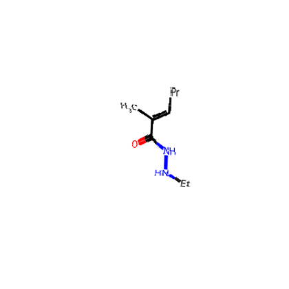 CCNNC(=O)C(C)=CC(C)C